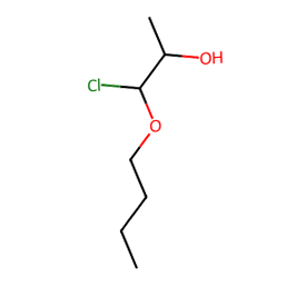 CCCCOC(Cl)C(C)O